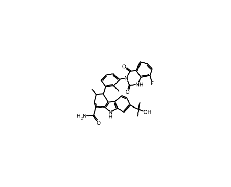 Cc1c(C2c3c([nH]c4cc(C(C)(C)O)ccc34)C(C(N)=O)=CC2C)cccc1-n1c(=O)[nH]c2c(F)cccc2c1=O